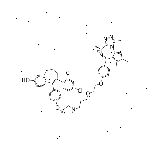 Cc1sc2c(c1C)C(c1ccc(OCCOCCCN3CC[C@H](Oc4ccc(C5=C(c6ccc(Cl)cc6Cl)CCCc6cc(O)ccc65)cc4)C3)cc1)=N[C@@H](C)c1nnc(C)n1-2